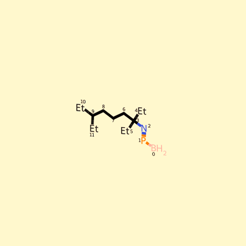 BP=NC(CC)(CC)CCCC(CC)CC